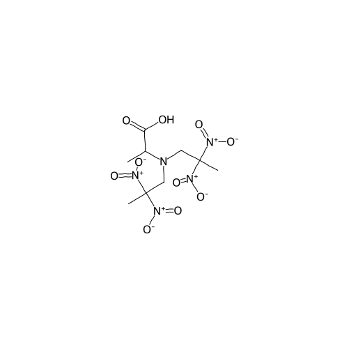 CC(C(=O)O)N(CC(C)([N+](=O)[O-])[N+](=O)[O-])CC(C)([N+](=O)[O-])[N+](=O)[O-]